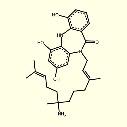 CC(C)=CCCC(C)(N)CCC/C(C)=C/CN1C(=O)c2cccc(O)c2Nc2c(O)cc(O)cc21